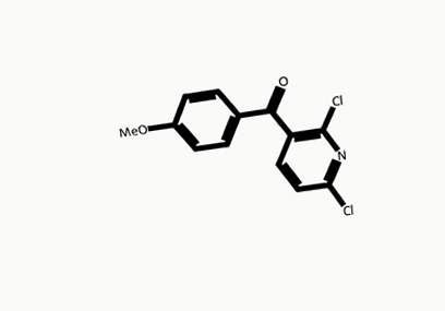 COc1ccc(C(=O)c2ccc(Cl)nc2Cl)cc1